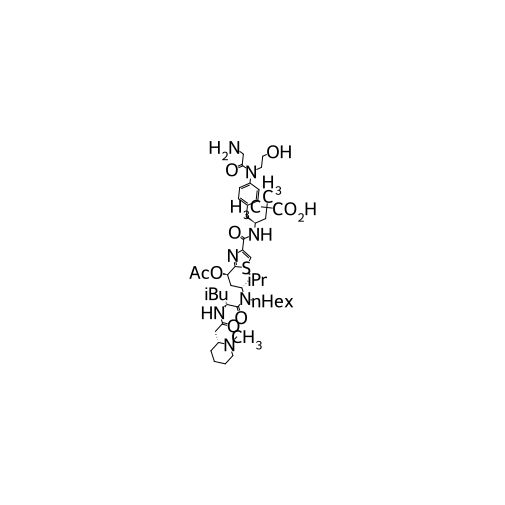 CCCCCCN(C(=O)[C@@H](NC(=O)C[C@H]1CCCCN1C)[C@@H](C)CC)[C@H](C[C@@H](OC(C)=O)c1nc(C(=O)N[C@@H](Cc2ccc(N(CCO)C(=O)CN)cc2)CC(C)(C)C(=O)O)cs1)C(C)C